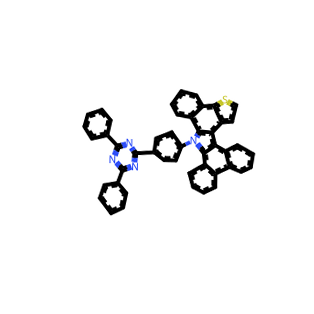 c1ccc(-c2nc(-c3ccccc3)nc(-c3ccc(-n4c5c6ccccc6c6ccccc6c5c5c6ccsc6c6ccccc6c54)cc3)n2)cc1